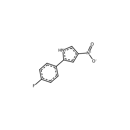 O=[N+]([O-])c1c[nH]c(-c2ccc(F)cc2)c1